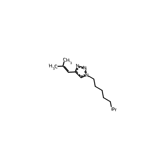 CC(C)=Cc1cn(CCCCCC(C)C)nn1